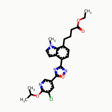 CCOC(=O)CCCc1ccc(-c2noc(-c3cnc(OC(C)C)c(Cl)c3)n2)c2ccn(C)c12